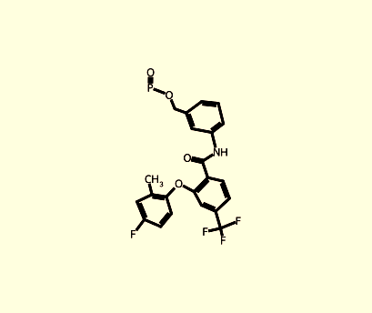 Cc1cc(F)ccc1Oc1cc(C(F)(F)F)ccc1C(=O)Nc1cccc(COP=O)c1